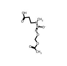 CC(=O)OCON=[N+]([O-])N(C)CCC(=O)O